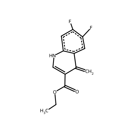 C=C1C(C(=O)OCC)=CNc2cc(F)c(F)cc21